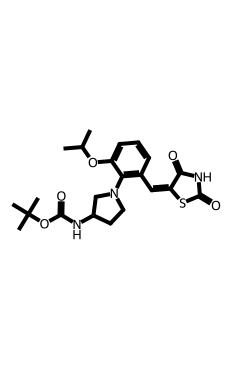 CC(C)Oc1cccc(C=C2SC(=O)NC2=O)c1N1CCC(NC(=O)OC(C)(C)C)C1